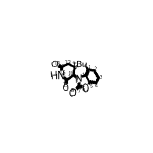 CC(C)(C)c1cccc2oc(=O)n(C3CCC(=O)NC3=O)c12